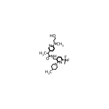 CC1CCN(c2nc(C(F)(F)F)ccc2CNC(=O)C(C)c2ccc(N(C)CCO)nc2)CC1